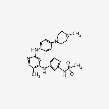 Cc1cnc(Nc2ccc(N3CCN(C)CC3)cc2)nc1Nc1cccc(NS(C)(=O)=O)c1